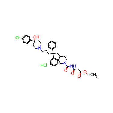 CCOC(=O)CC(=O)NC(=O)N1CCC(CC(CCCN2CCC(O)(c3ccc(Cl)cc3)CC2)(c2ccccc2)c2ccccc2)CC1.Cl